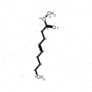 CCCCC=CCCC(=O)OC